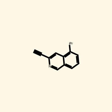 C#Cc1cc2c(C(C)C)cccc2cn1